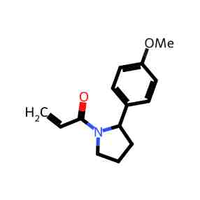 C=CC(=O)N1CCCC1c1ccc(OC)cc1